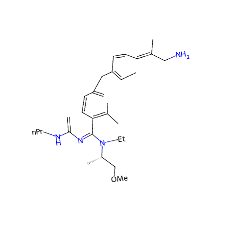 C=C(/C=C\C(=C(C)C)/C(=N\C(=C)NCCC)N(CC)[C@@H](C)COC)CC(/C=C\C=C(/C)CN)=C/C